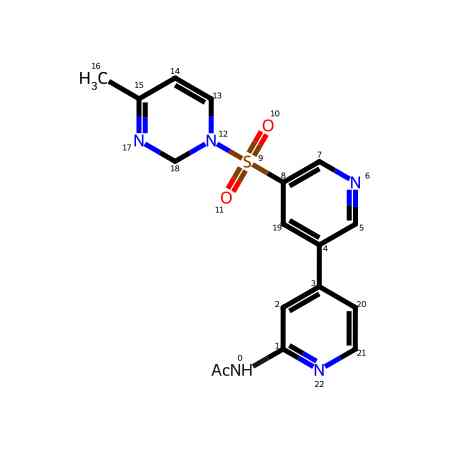 CC(=O)Nc1cc(-c2cncc(S(=O)(=O)N3C=CC(C)=NC3)c2)ccn1